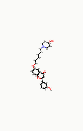 COc1cccc(-c2cc(=O)c3cc(OCCCCCCN4CCC(O)CC4)ccc3o2)c1